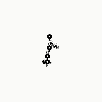 CN(C)C(=O)CN(CC(=O)OCc1ccccc1)c1cccc(COc2ccc(-c3cc(F)c(F)c4ccoc34)cc2)c1